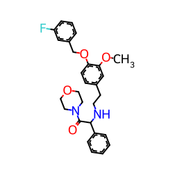 COc1cc(CCNC(C(=O)N2CCOCC2)c2ccccc2)ccc1OCc1cccc(F)c1